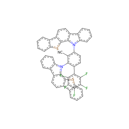 N#Cc1c(-n2c3ccccc3c3ccc4c5ccccc5sc4c32)ccc(-c2c(F)c(F)c(F)c(F)c2F)c1-n1c2ccccc2c2ccc3c4ccccc4sc3c21